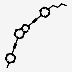 CCCCc1ccc(C#Cc2cc3ccc(C#Cc4ccc(C)cc4)cc3s2)cc1